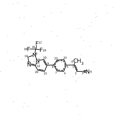 C/C(=C\C#N)c1ccc(C2=CN3C(=NCN3C(F)(F)F)C=C2)cc1